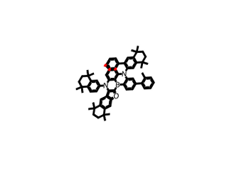 Cc1cc2c3c(c1)N(c1ccc4c(c1)C(C)(C)CCC4(C)C)c1c(oc4cc5c(cc14)C(C)(C)CCC5(C)C)B3c1ccc(-c3ccccc3C)cc1N2c1cc2c(cc1-c1ccccc1)C(C)(C)CCC2(C)C